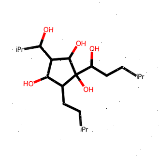 CC(C)CCC(O)C1(O)C(O)C(C(O)C(C)C)C(O)C1CCC(C)C